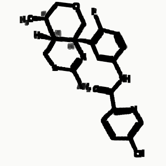 C[C@H]1COC[C@]2(c3cc(NC(=O)c4ccc(C#N)cn4)ccc3F)N=C(N)SC[C@H]12